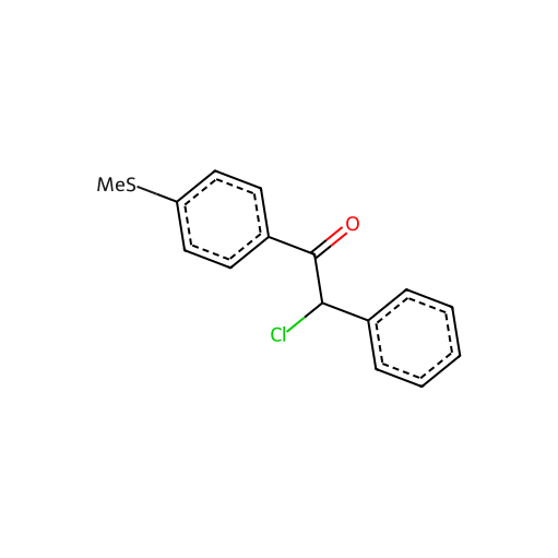 CSc1ccc(C(=O)C(Cl)c2ccccc2)cc1